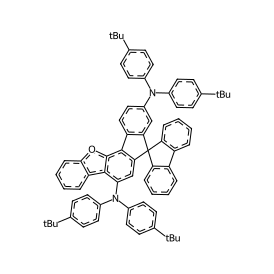 CC(C)(C)c1ccc(N(c2ccc(C(C)(C)C)cc2)c2ccc3c(c2)C2(c4ccccc4-c4ccccc42)c2cc(N(c4ccc(C(C)(C)C)cc4)c4ccc(C(C)(C)C)cc4)c4c(oc5ccccc54)c2-3)cc1